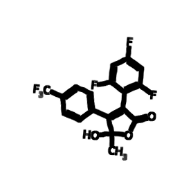 CC1(O)OC(=O)C(c2c(F)cc(F)cc2F)=C1c1ccc(C(F)(F)F)cc1